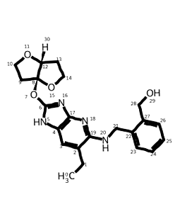 CCc1cc2[nH]c(O[C@@]34CCO[C@@H]3CCO4)nc2nc1NCc1ccccc1CO